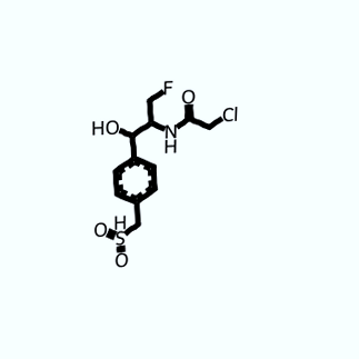 O=C(CCl)NC(CF)C(O)c1ccc(C[SH](=O)=O)cc1